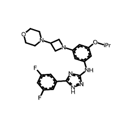 CC(C)Oc1cc(Nc2n[nH]c(-c3cc(F)cc(F)c3)n2)cc(N2CC(N3CCOCC3)C2)c1